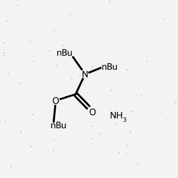 CCCCOC(=O)N(CCCC)CCCC.N